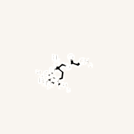 C=CC(=O)OCC1(C)CC[Si](C)(C)[Si](C)(C)O1